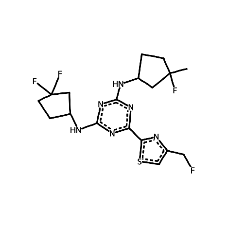 CC1(F)CCC(Nc2nc(NC3CCC(F)(F)C3)nc(-c3nc(CF)cs3)n2)C1